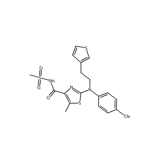 Cc1sc(N(CCc2ccsc2)c2ccc(C#N)cc2)nc1C(=O)NS(C)(=O)=O